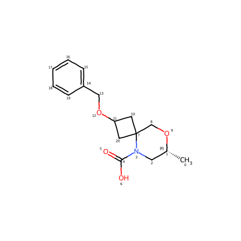 C[C@@H]1CN(C(=O)O)C2(CO1)CC(OCc1ccccc1)C2